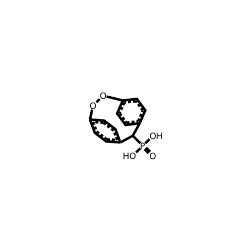 O=P(O)(O)C1c2ccc(cc2)OOc2ccc1cc2